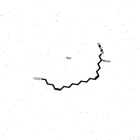 [N-]=[N+]=NC[C@@H](O)CCC/C=C\CCCCCCC/C=C\CCCC(=O)[O-].[Na+]